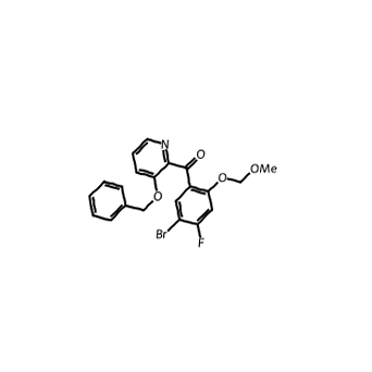 COCOc1cc(F)c(Br)cc1C(=O)c1ncccc1OCc1ccccc1